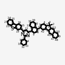 CC1(C)c2ccc(-c3ccc(-c4cc(-c5ccc6c(c5)sc5ccccc56)nc(-c5ccccc5)n4)c4ccccc34)cc2-c2cc3ccccc3cc21